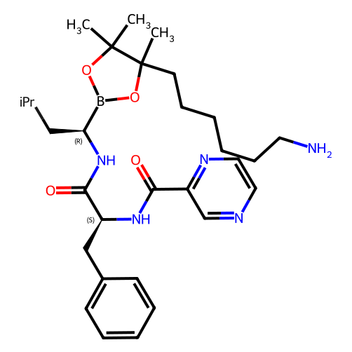 CC(C)C[C@H](NC(=O)[C@H](Cc1ccccc1)NC(=O)c1cnccn1)B1OC(C)(C)C(C)(CCCCCCN)O1